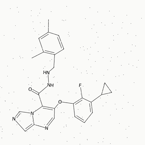 Cc1ccc(CNNC(=O)c2c(Oc3cccc(C4CC4)c3F)cnc3cncn23)c(C)c1